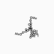 C=C[C@]1(C)[C@H](O)[C@@](CF)(COP(=O)(OCOC(=O)OCCOCCOC)OCOC(=O)OCCOCCOC)O[C@H]1n1ccc(=O)[nH]c1=O